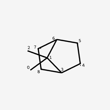 CC1(C)C2[CH]CC1[CH]C2